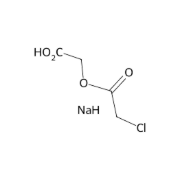 O=C(O)COC(=O)CCl.[NaH]